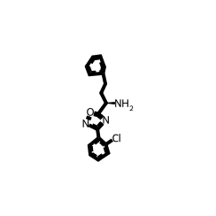 N[C@H](CCc1ccccc1)c1nc(-c2ccccc2Cl)no1